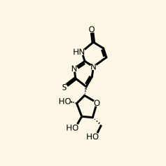 O=c1ccn2cc([C@@H]3O[C@H](CO)C(O)[C@@H]3O)c(=S)nc2[nH]1